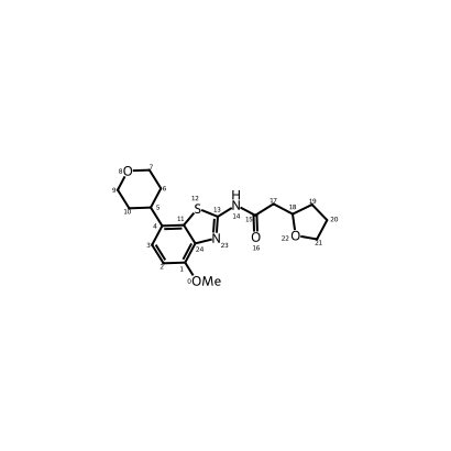 COc1ccc(C2CCOCC2)c2sc(NC(=O)CC3CCCO3)nc12